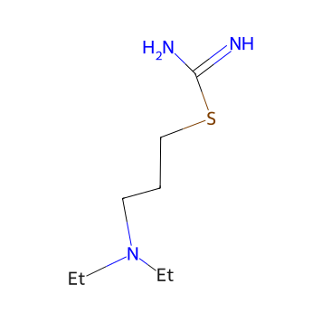 CCN(CC)CCCSC(=N)N